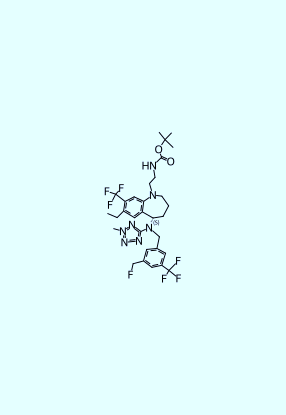 CCc1cc2c(cc1C(F)(F)F)N(CCNC(=O)OC(C)(C)C)CCC[C@@H]2N(Cc1cc(CF)cc(C(F)(F)F)c1)c1nnn(C)n1